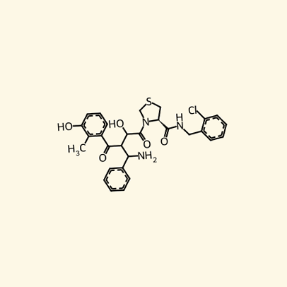 Cc1c(O)cccc1C(=O)C(C(O)C(=O)N1CSC[C@H]1C(=O)NCc1ccccc1Cl)C(N)c1ccccc1